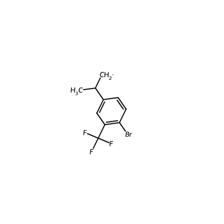 [CH2]C(C)c1ccc(Br)c(C(F)(F)F)c1